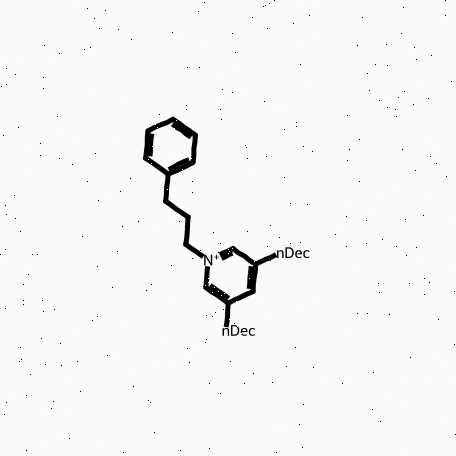 CCCCCCCCCCc1cc(CCCCCCCCCC)c[n+](CCCc2ccccc2)c1